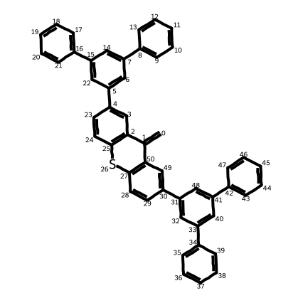 C=C1c2cc(-c3cc(-c4ccccc4)cc(-c4ccccc4)c3)ccc2Sc2ccc(-c3cc(-c4ccccc4)cc(-c4ccccc4)c3)cc21